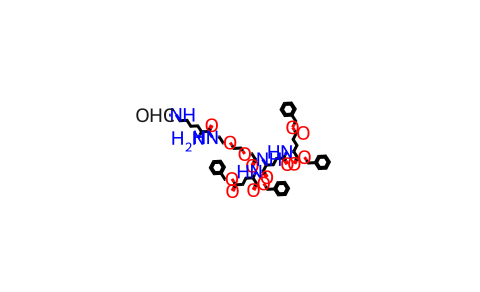 NC(CCCCNC=O)C(=O)NCCOCCOCC(=O)NC(CCC(=O)NC(CCC(=O)OCc1ccccc1)C(=O)OCc1ccccc1)C(=O)NC(CCC(=O)OCc1ccccc1)C(=O)OCc1ccccc1